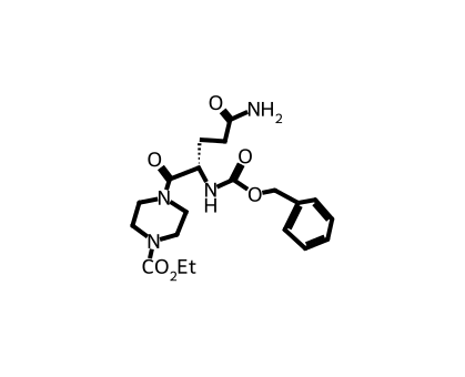 CCOC(=O)N1CCN(C(=O)[C@H](CCC(N)=O)NC(=O)OCc2ccccc2)CC1